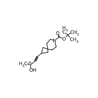 C[C@H](O)C#CC1CC2(CCN(C(=O)OC(C)(C)C)CC2)C1